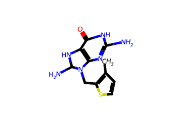 Cc1ccsc1CN1c2nc(N)[nH]c(=O)c2NC1N